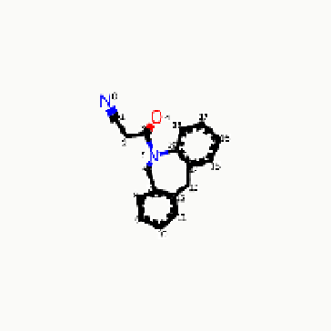 N#CCC(=O)N1Cc2ccccc2Cc2ccccc21